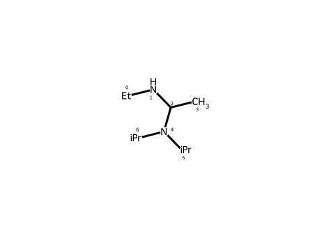 CCNC(C)N(C(C)C)C(C)C